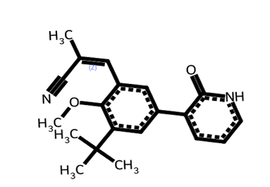 COc1c(/C=C(/C)C#N)cc(-c2ccc[nH]c2=O)cc1C(C)(C)C